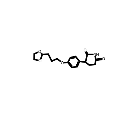 O=C1CCC(c2ccc(OCCCC3OCCO3)cc2)C(=O)N1